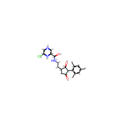 Cc1cc(C)c(C2C(=O)CC(CCNC(=O)c3cncc(Cl)n3)C2=O)c(C)c1